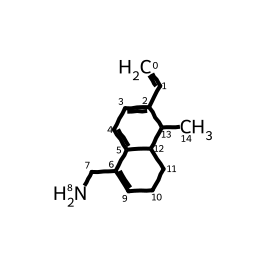 C=CC1=CC=C2C(CN)=CCCC2C1C